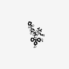 COc1ccc(C(OC[C@H]2O[C@@H](n3ccc(NC(=O)c4ccccc4)nc3=O)[C@H](OP(OCCC#N)N(C(C)C)C(C)C)[C@H]2F)(c2ccccc2)c2ccc(OC)cc2)cc1